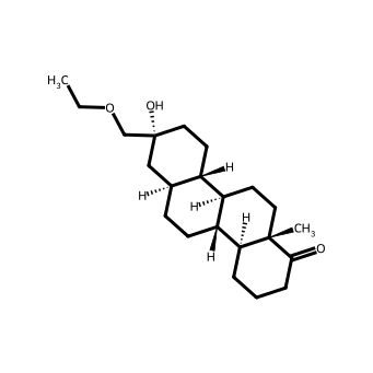 CCOC[C@@]1(O)CC[C@H]2[C@@H](CC[C@@H]3[C@@H]2CC[C@]2(C)C(=O)CCC[C@@H]32)C1